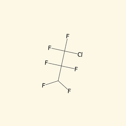 FC(F)C(F)(F)C(F)(F)Cl